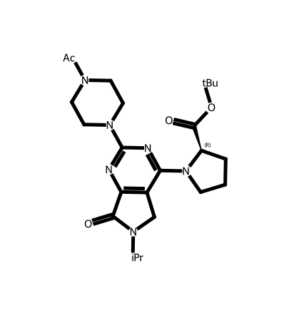 CC(=O)N1CCN(c2nc3c(c(N4CCC[C@@H]4C(=O)OC(C)(C)C)n2)CN(C(C)C)C3=O)CC1